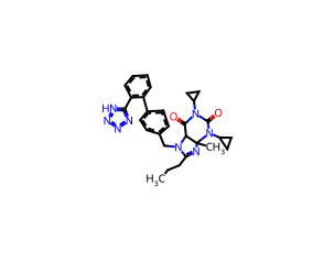 CCCC1=NC2(C)C(C(=O)N(C3CC3)C(=O)N2C2CC2)N1Cc1ccc(-c2ccccc2-c2nnn[nH]2)cc1